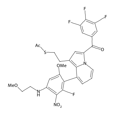 COCCNc1cc(OC)c(-c2cccn3c(C(=O)c4cc(F)c(F)c(F)c4)cc(CCSC(C)=O)c23)c(F)c1[N+](=O)[O-]